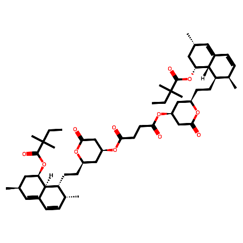 CCC(C)(C)C(=O)O[C@@H]1C[C@H](C)C=C2C=C[C@@H](C)[C@@H](CC[C@@H]3C[C@H](OC(=O)CCC(=O)O[C@@H]4CC(=O)O[C@H](CC[C@H]5[C@H]6C(=C[C@@H](C)C[C@H]6OC(=O)C(C)(C)CC)C=C[C@H]5C)C4)CC(=O)O3)[C@@H]21